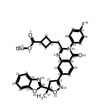 CC(C)(C)OC(=O)C1CC(Cc2nc3cc(C4=NOC(C)(c5nc6ccccc6o5)C4)ccc3c(=O)n2-c2ccc(F)cc2)C1